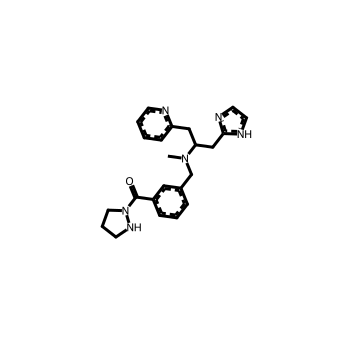 CN(Cc1cccc(C(=O)N2CCCN2)c1)C(Cc1ccccn1)Cc1ncc[nH]1